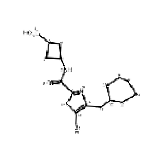 O=C(NC1CC(C(=O)O)C1)c1nc(CC2CCCCC2)c(Br)s1